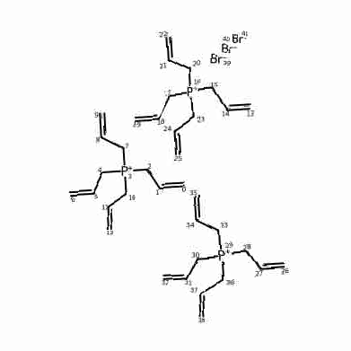 C=CC[P+](CC=C)(CC=C)CC=C.C=CC[P+](CC=C)(CC=C)CC=C.C=CC[P+](CC=C)(CC=C)CC=C.[Br-].[Br-].[Br-]